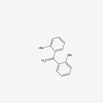 C=C(c1ccccc1CCCC)c1ccccc1CCCC